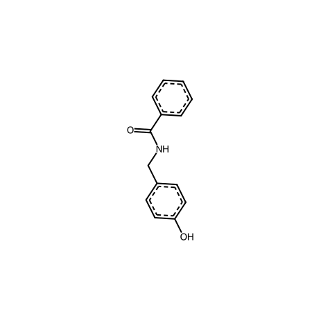 O=C(NCc1ccc(O)cc1)c1ccccc1